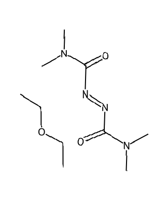 CCOCC.CN(C)C(=O)N=NC(=O)N(C)C